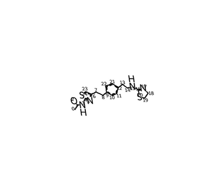 CC(=O)Nc1nc(CCc2ccc(CCNC3=NCCS3)cc2)cs1